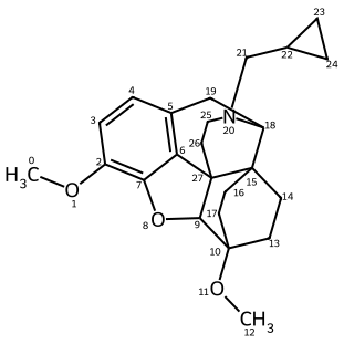 COc1ccc2c3c1OC1C4(OC)CCC5(CC4)C(C2)N(CC2CC2)CCC315